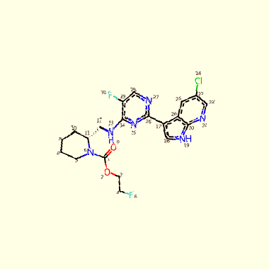 O=C(OCCF)N1CCCC[C@@H]1CNc1nc(-c2c[nH]c3ncc(Cl)cc23)ncc1F